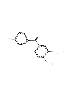 Cc1ccc(C(=O)c2ccc(N)c(S(=O)(=O)O)c2)cc1